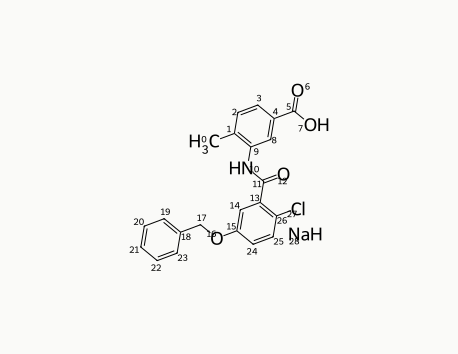 Cc1ccc(C(=O)O)cc1NC(=O)c1cc(OCc2ccccc2)ccc1Cl.[NaH]